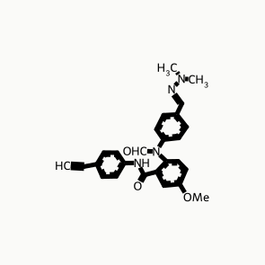 C#Cc1ccc(NC(=O)c2cc(OC)ccc2N(C=O)c2ccc(C=NN(C)C)cc2)cc1